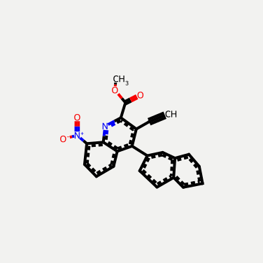 C#Cc1c(C(=O)OC)nc2c([N+](=O)[O-])cccc2c1-c1ccc2ccccc2c1